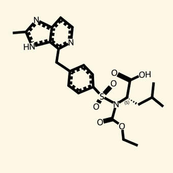 CCOC(=O)N([C@@H](CC(C)C)C(=O)O)S(=O)(=O)c1ccc(Cc2nccc3nc(C)[nH]c23)cc1